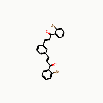 O=C(/C=C/c1cccc(/C=C/C(=O)c2ccccc2Br)c1)c1ccccc1Br